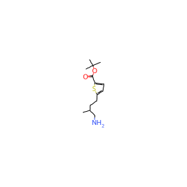 CC(CN)CCc1ccc(C(=O)OC(C)(C)C)s1